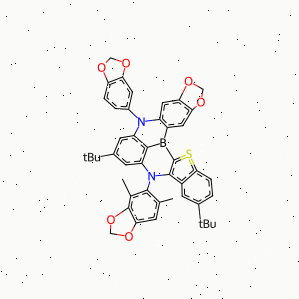 Cc1cc2c(c(C)c1N1c3cc(C(C)(C)C)cc4c3B(c3cc5c(cc3N4c3ccc4c(c3)OCO4)OCO5)c3sc4ccc(C(C)(C)C)cc4c31)OCO2